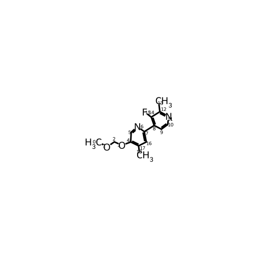 COCOc1cnc(-c2ccnc(C)c2F)cc1C